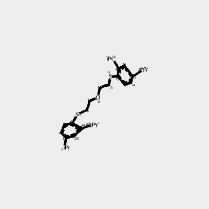 CC(C)c1ccc(SCCOCCSc2ccc(C(C)C)cc2C(C)C)c(C(C)C)c1